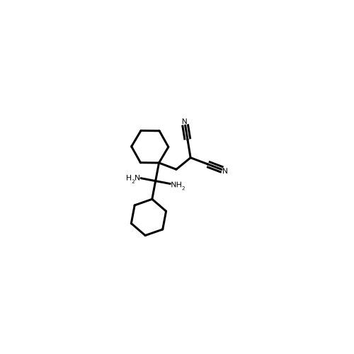 N#CC(C#N)CC1(C(N)(N)C2CCCCC2)CCCCC1